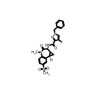 CN1C(=O)[C@@H](NC(=O)c2nn(Cc3ccccc3)cc2F)C2C[C@H]2c2cc(S(C)(=O)=O)ccc21